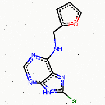 Brc1nc2c(NCc3ccco3)ncnc2[nH]1